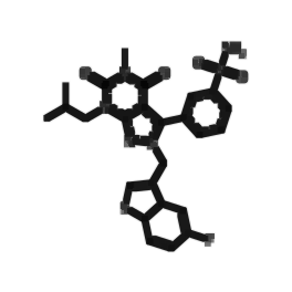 CC(C)Cn1c(=O)n(C)c(=O)c2c(-c3cccc(S(N)(=O)=O)c3)n(CC3=CSC4C=CC(F)=CC34)nc21